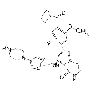 COc1cc(-c2cc(Nc3ccc(N4CCNCC4)cn3)c3c(=O)[nH]ccc3n2)c(F)cc1C(=O)N1CCC1